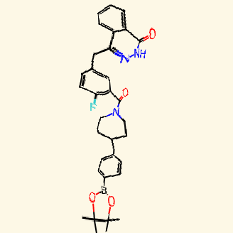 CC1(C)OB(c2ccc(C3CCN(C(=O)c4cc(Cc5n[nH]c(=O)c6ccccc56)ccc4F)CC3)cc2)OC1(C)C